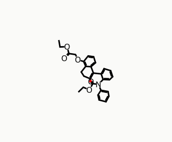 CCOC(=O)COc1cccc2c1CCC(C)=C2c1ccccc1N(C(=O)OCC)c1ccccc1